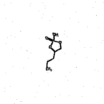 CCCC1COP(=O)(O)O1